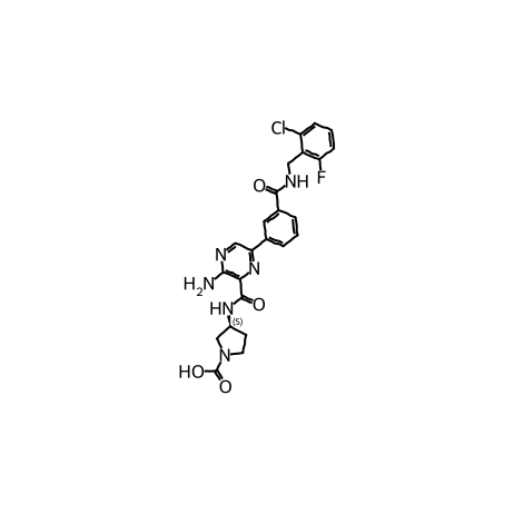 Nc1ncc(-c2cccc(C(=O)NCc3c(F)cccc3Cl)c2)nc1C(=O)N[C@H]1CCN(C(=O)O)C1